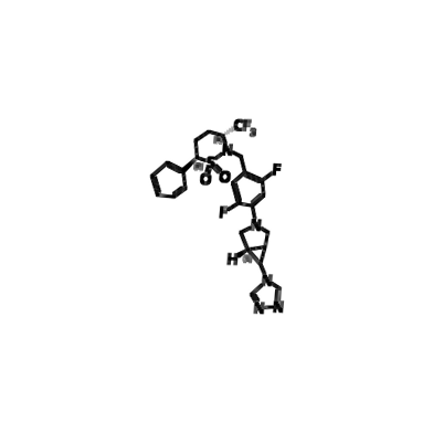 O=S1(=O)[C@@H](c2ccccc2)CC[C@H](C(F)(F)F)N1Cc1cc(F)c(N2CC3C(n4cnnc4)[C@@H]3C2)cc1F